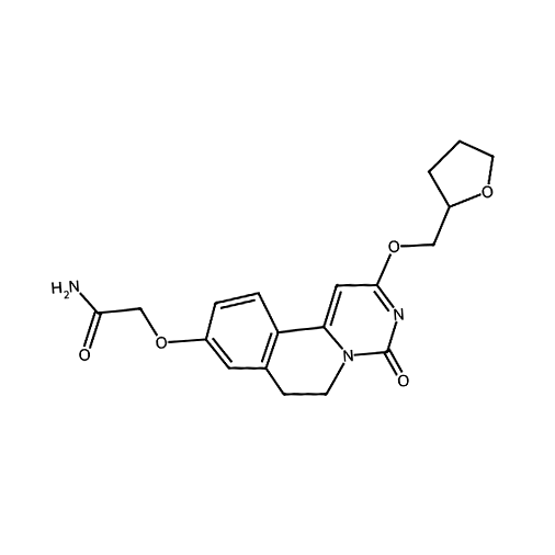 NC(=O)COc1ccc2c(c1)CCn1c-2cc(OCC2CCCO2)nc1=O